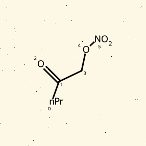 CCCC(=O)CO[N+](=O)[O-]